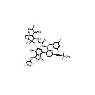 COCC(=O)Nc1nn(C)c2c(-c3ccc(C#CC(C)(C)O)nc3[C@H](Cc3cc(F)cc(F)c3)NC(=O)CNC3=C(C(=N)C(F)F)[C@H]4CC[C@H]4C3(F)F)ccc(Cl)c12